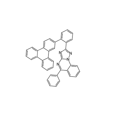 c1ccc(-c2nc3nc(-c4ccccc4-c4ccc5c6ccccc6c6ccccc6c5c4)nn3c3ccccc23)cc1